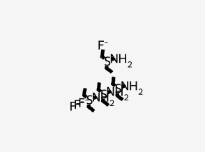 CC[S+](N)CC.CC[S+](N)CC.CC[S+](N)CC.CC[S+](N)CC.[F-].[F-].[F-].[F-]